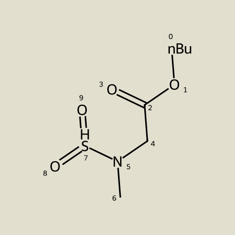 CCCCOC(=O)CN(C)[SH](=O)=O